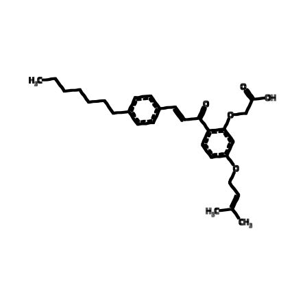 CCCCCCCc1ccc(/C=C/C(=O)c2ccc(OCC=C(C)C)cc2OCC(=O)O)cc1